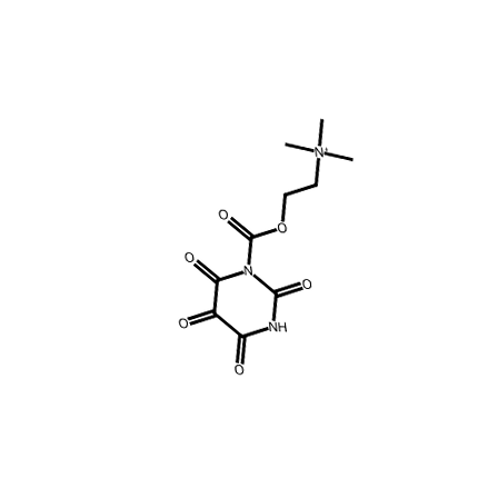 C[N+](C)(C)CCOC(=O)N1C(=O)NC(=O)C(=O)C1=O